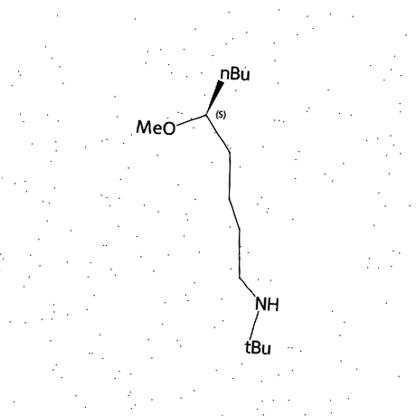 CCCC[C@@H](CCCCNC(C)(C)C)OC